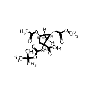 COC(=O)C[C@H]1[C@H]2[C@@H]1[C@](NC(=O)OC(C)(C)C)(C(=O)O)C[C@@H]2OC(C)=O